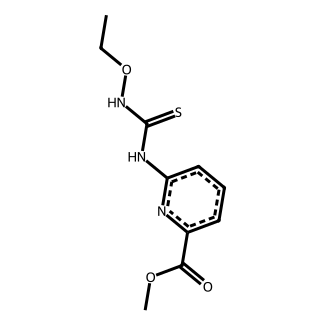 CCONC(=S)Nc1cccc(C(=O)OC)n1